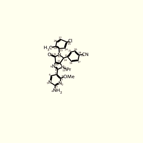 COc1nc(N)ncc1-c1nc2c(n1C(C)C)C(c1ccc(C#N)cc1)N(c1cc(Cl)ccc1C)C2=O